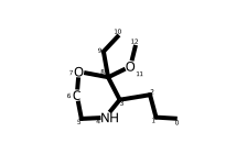 CCCC1NCCOC1(CC)OC